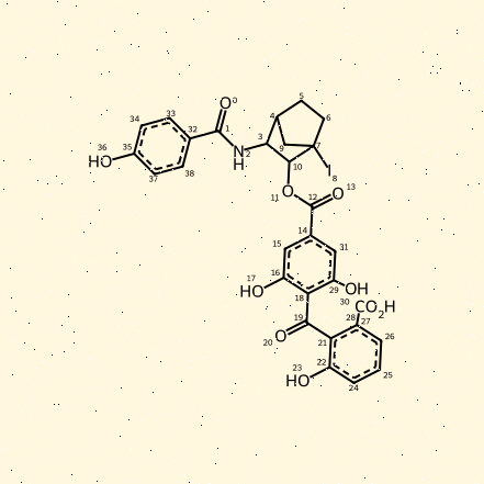 O=C(NC1C2CCC(I)(C2)C1OC(=O)c1cc(O)c(C(=O)c2c(O)cccc2C(=O)O)c(O)c1)c1ccc(O)cc1